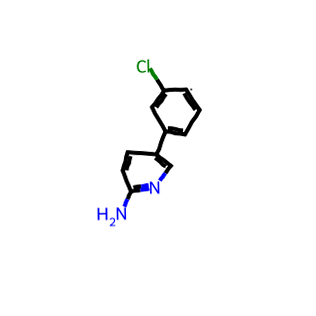 Nc1ccc(-c2cc[c]c(Cl)c2)cn1